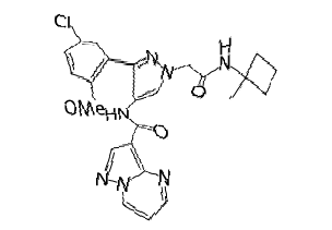 COc1ccc(Cl)cc1-c1nn(CC(=O)NC2(C)CCC2)cc1NC(=O)c1cnn2cccnc12